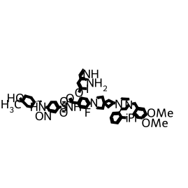 COc1ccc(CN2CCN(C3CC4(CCN(c5cc(O/C(I)=C/c6cc[nH]c6N)c(C(=O)NS(=O)(=O)C6=CCC(NC[C@H]7CC[C@](C)(O)CC7)C(N=O)=C6)cc5F)CC4)C3)[C@H](c3ccccc3C(C)C)C2)cc1OC